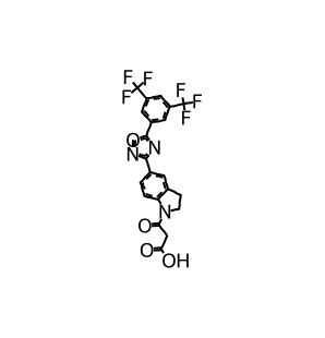 O=C(O)CC(=O)N1CCc2cc(-c3noc(-c4cc(C(F)(F)F)cc(C(F)(F)F)c4)n3)ccc21